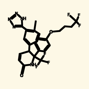 Cc1ccc(C2C=CC(=O)NC2(c2ccc(OCCCC(F)(F)F)cc2)C(F)(F)F)cc1-c1nnn[nH]1